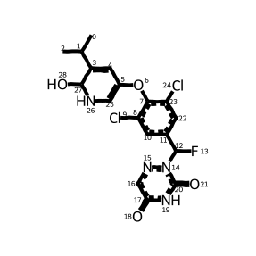 CC(C)C1=CC(Oc2c(Cl)cc(C(F)n3ncc(=O)[nH]c3=O)cc2Cl)=CNC1O